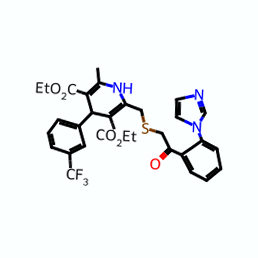 CCOC(=O)C1=C(C)NC(CSCC(=O)c2ccccc2-n2ccnc2)=C(C(=O)OCC)C1c1cccc(C(F)(F)F)c1